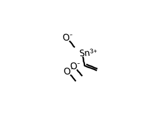 C=[CH][Sn+3].C[O-].C[O-].C[O-]